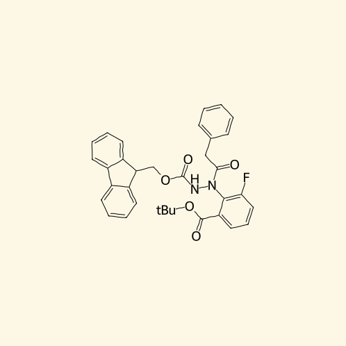 CC(C)(C)OC(=O)c1cccc(F)c1N(NC(=O)OCC1c2ccccc2-c2ccccc21)C(=O)Cc1ccccc1